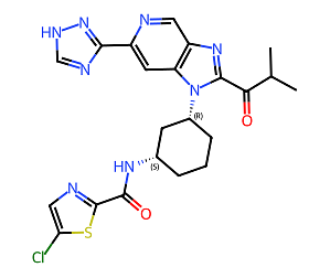 CC(C)C(=O)c1nc2cnc(-c3nc[nH]n3)cc2n1[C@@H]1CCC[C@H](NC(=O)c2ncc(Cl)s2)C1